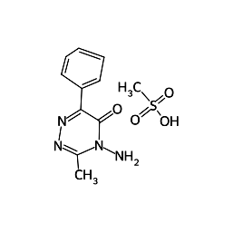 CS(=O)(=O)O.Cc1nnc(-c2ccccc2)c(=O)n1N